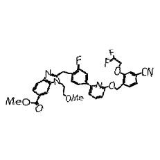 COCCn1c(Cc2ccc(-c3cccc(OCc4ccc(C#N)cc4OCC(F)F)n3)cc2F)nc2ccc(C(=O)OC)cc21